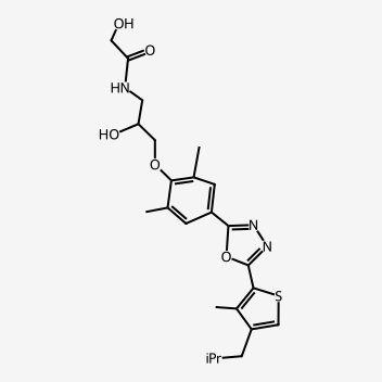 Cc1cc(-c2nnc(-c3scc(CC(C)C)c3C)o2)cc(C)c1OCC(O)CNC(=O)CO